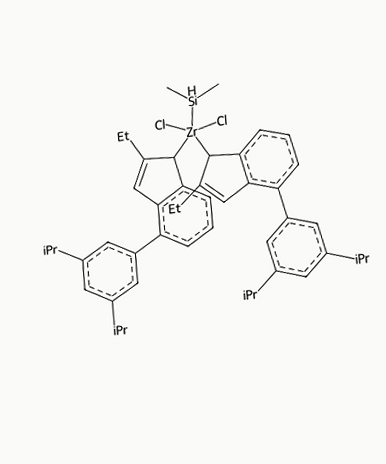 CCC1=Cc2c(-c3cc(C(C)C)cc(C(C)C)c3)cccc2[CH]1[Zr]([Cl])([Cl])([CH]1C(CC)=Cc2c(-c3cc(C(C)C)cc(C(C)C)c3)cccc21)[SiH](C)C